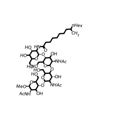 CCCCCCC(C)CCCCCCCC(=O)NC1[C@H](O[C@H]2C(CO)O[C@H](OC3C(CO)O[C@@H](O[C@H]4C(CO)O[C@H](OC)[C@H](NC(C)=O)C4O)C(NC(C)=O)[C@H]3O)[C@H](NC(C)=O)C2O)OC(CO)C(O)[C@@H]1O